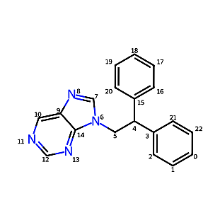 c1ccc(C(Cn2cnc3cncnc32)c2ccccc2)cc1